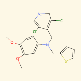 COc1ccc(N(Cc2cccs2)Cc2c(Cl)cncc2Cl)cc1OC